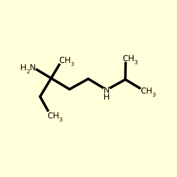 CCC(C)(N)CCNC(C)C